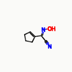 N#CC(=NO)C1=CCCC1